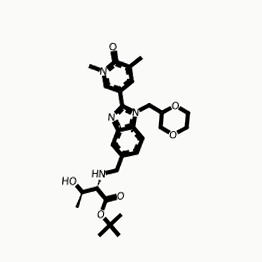 Cc1cc(-c2nc3cc(CN[C@H](C(=O)OC(C)(C)C)[C@@H](C)O)ccc3n2CC2COCCO2)cn(C)c1=O